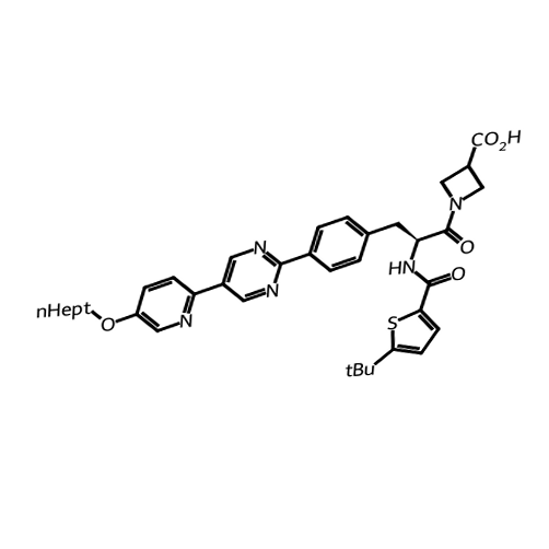 CCCCCCCOc1ccc(-c2cnc(-c3ccc(C[C@H](NC(=O)c4ccc(C(C)(C)C)s4)C(=O)N4CC(C(=O)O)C4)cc3)nc2)nc1